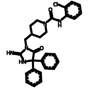 N=C1NC(c2ccccc2)(c2ccccc2)C(=O)N1CC1CCN(C(=O)Nc2ccccc2Cl)CC1